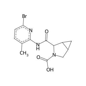 Cc1ccc(Br)nc1NC(=O)C1C2CC2CN1C(=O)O